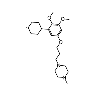 COc1cc(OCCCN2CCN(C)CC2)cc(C2CC[CH]CC2)c1OC